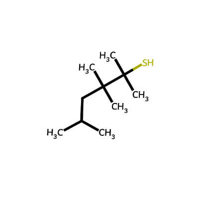 CC(C)CC(C)(C)C(C)(C)S